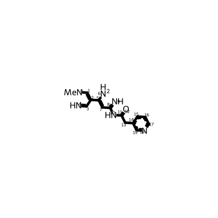 CN/C=C(C=N)/C(N)=C/C(=N)NC(=O)Cc1cccnc1